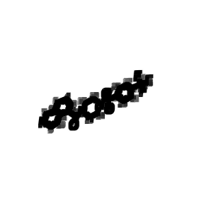 O=C(c1cccc2cnccc12)N1CCN(S(=O)(=O)c2ccc(C(F)(F)F)cc2)CC1